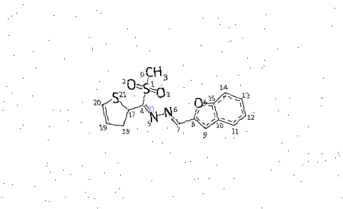 CS(=O)(=O)/C(=N\N=Cc1cc2ccccc2o1)C1CC=CS1